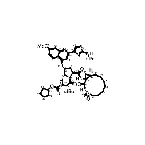 COc1ccc2c(O[C@@H]3CC(C(=O)N[C@]45C[C@H]4CCCCCCCS(=O)(=O)NC5=O)N(C(=O)[C@@H](NC(=O)OC4CCCC4)C(C)(C)C)C3)cc(-c3csc(NC(C)C)n3)nc2c1